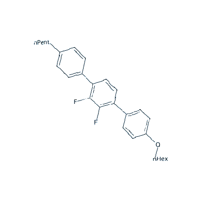 CCCCCCOc1ccc(-c2ccc(-c3ccc(CCCCC)cc3)c(F)c2F)cc1